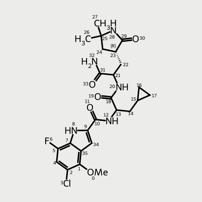 COc1c(Cl)cc(F)c2[nH]c(C(=O)NC(CC3CC3)C(=O)NC(C[C@@H]3CC(C)(C)NC3=O)C(N)=O)cc12